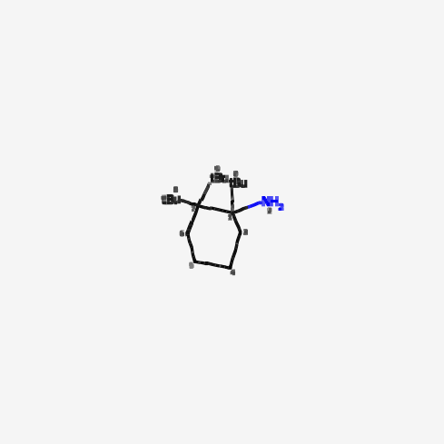 CC(C)(C)C1(N)CCCCC1(C(C)(C)C)C(C)(C)C